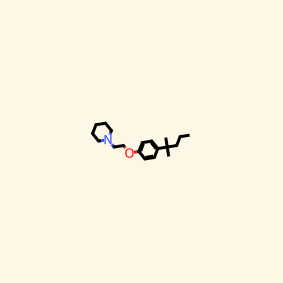 CCCC(C)(C)c1ccc(OCCN2CCCCC2)cc1